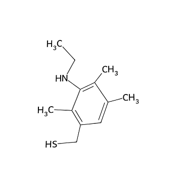 CCNc1c(C)c(C)cc(CS)c1C